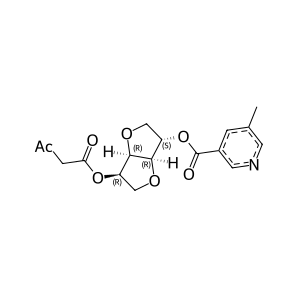 CC(=O)CC(=O)O[C@@H]1CO[C@H]2[C@@H]1OC[C@@H]2OC(=O)c1cncc(C)c1